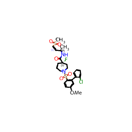 COc1ccc(S(=O)(=O)N2CCC[C@@](F)(C(=O)N[C@H](C)/C=C\S(C)(=O)=O)CC2)c(-c2ccccc2Cl)c1